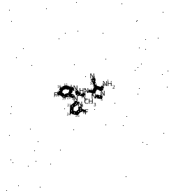 C[C@@H](Nc1ncnc(N)c1C#N)c1nc2ccc(F)cc2n1-c1cccc(F)n1